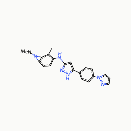 CNN1c2ccc(Nc3cc(-c4ccc(-n5cccn5)cc4)[nH]n3)c(C)c21